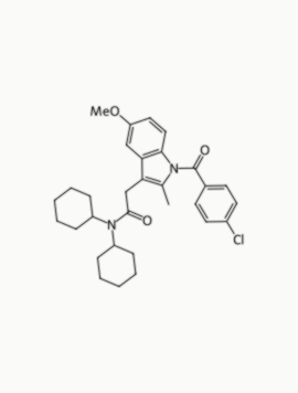 COc1ccc2c(c1)c(CC(=O)N(C1CCCCC1)C1CCCCC1)c(C)n2C(=O)c1ccc(Cl)cc1